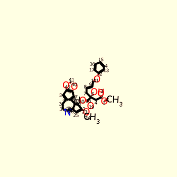 COC(=O)C[C@](O)(C/C=C/COc1ccccc1)C(=O)O[C@@H]1C(OC)=C[C@]23CCCN2CCc2cc4c(cc2[C@H]13)OCO4